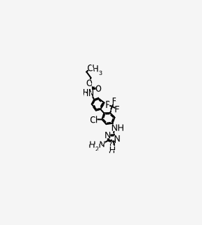 CCCOC(=O)Nc1ccc(-c2c(Cl)cc(Nc3n[nH]c(N)n3)cc2C(F)(F)F)cc1